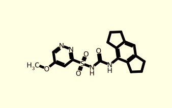 COc1cnnc(S(=O)(=O)NC(=O)Nc2c3c(cc4c2CCC4)CCC3)c1